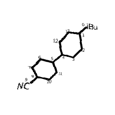 CCC(C)C1CCC(C2CCC(C#N)CC2)CC1